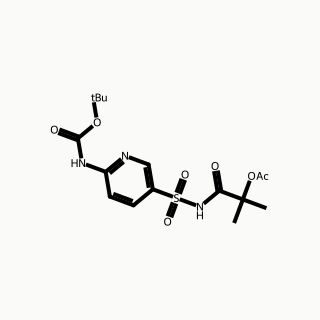 CC(=O)OC(C)(C)C(=O)NS(=O)(=O)c1ccc(NC(=O)OC(C)(C)C)nc1